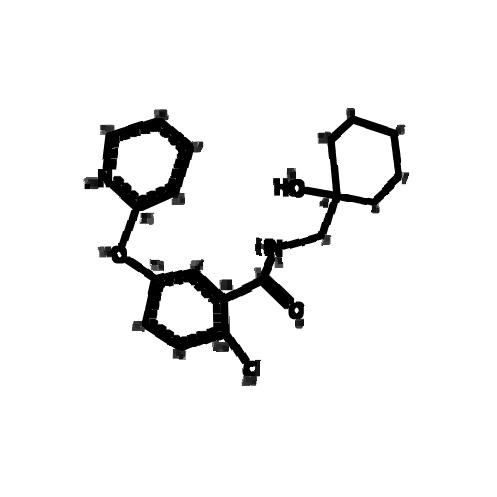 O=C(NCC1(O)CCCCC1)c1cc(Oc2ccccn2)ccc1Cl